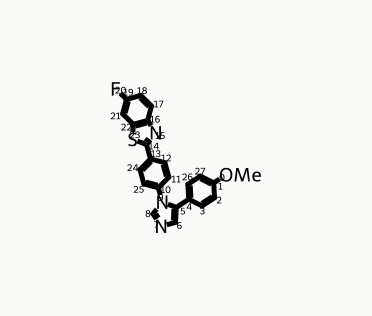 COc1ccc(-c2cncn2-c2ccc(-c3nc4ccc(F)cc4s3)cc2)cc1